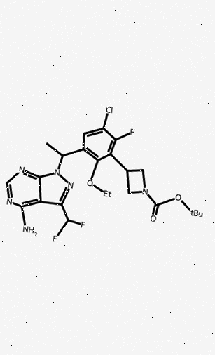 CCOc1c(C(C)n2nc(C(F)F)c3c(N)ncnc32)cc(Cl)c(F)c1C1CN(C(=O)OC(C)(C)C)C1